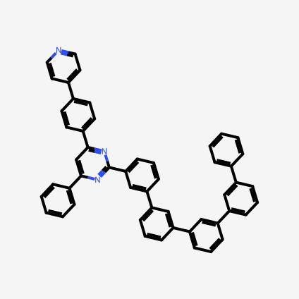 c1ccc(-c2cccc(-c3cccc(-c4cccc(-c5cccc(-c6nc(-c7ccccc7)cc(-c7ccc(-c8ccncc8)cc7)n6)c5)c4)c3)c2)cc1